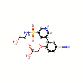 N#Cc1ccc(OCC(=O)O)c(-c2cncc(S(=O)(=O)NCCO)c2)c1